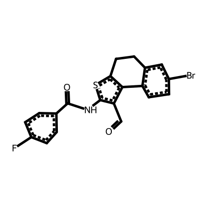 O=Cc1c(NC(=O)c2ccc(F)cc2)sc2c1-c1ccc(Br)cc1CC2